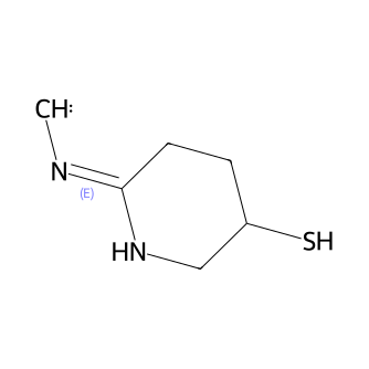 [CH]/N=C1\CCC(S)CN1